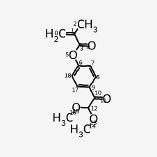 C=C(C)C(=O)Oc1ccc(C(=O)C(OC)OC)cc1